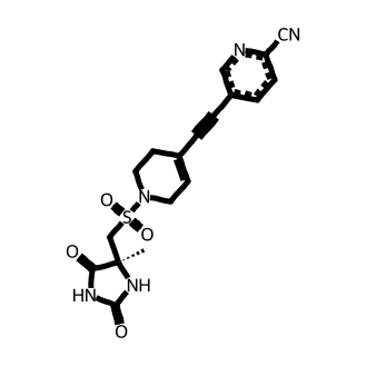 C[C@]1(CS(=O)(=O)N2CC=C(C#Cc3ccc(C#N)nc3)CC2)NC(=O)NC1=O